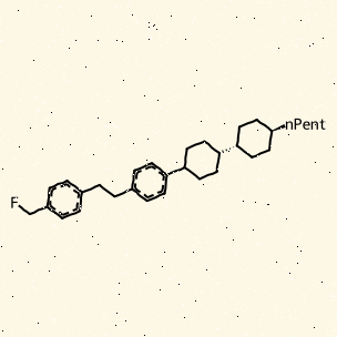 CCCCC[C@H]1CC[C@H](C2CCC(c3ccc(CCc4ccc(CF)cc4)cc3)CC2)CC1